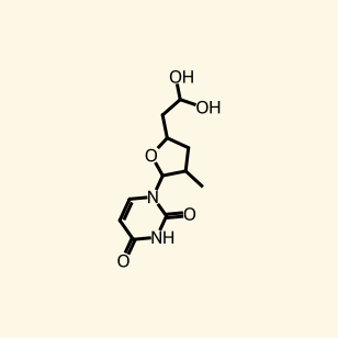 CC1CC(CC(O)O)OC1n1ccc(=O)[nH]c1=O